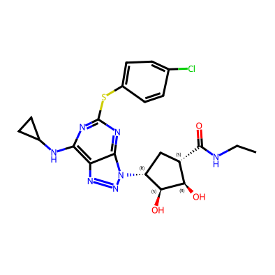 CCNC(=O)[C@H]1C[C@@H](n2nnc3c(NC4CC4)nc(Sc4ccc(Cl)cc4)nc32)[C@H](O)[C@@H]1O